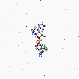 Cc1cc2c(N3CCCC3)ccnc2cc1COc1ccc(C#N)c(C(F)(F)F)c1